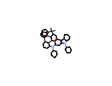 CC1(C)c2ccccc2-c2c(-c3c(-c4ccccc4)cccc3N(c3ccccc3)c3ccc4c5ccccc5n(-c5ccccc5)c4c3)cccc21